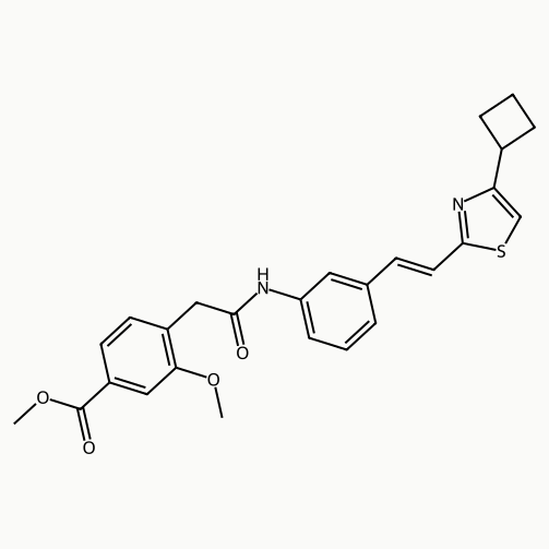 COC(=O)c1ccc(CC(=O)Nc2cccc(C=Cc3nc(C4CCC4)cs3)c2)c(OC)c1